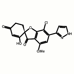 COc1cc(-c2cc[nH]n2)c(Cl)c2c1C(=O)[C@@]1(CCC(=O)C=C1O)O2